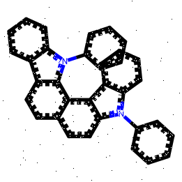 c1ccc(-n2c3ccccc3c3c4c(ccc5c6ccccc6n(-c6ccccc6)c54)ccc32)cc1